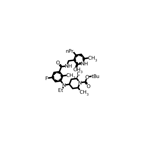 CCCc1cc(C)[nH]c(=O)c1CNC(=O)c1cc(F)cc(N(CC)C2CC(C)N(C(=O)OC(C)(C)C)[C@H](C)C2)c1C